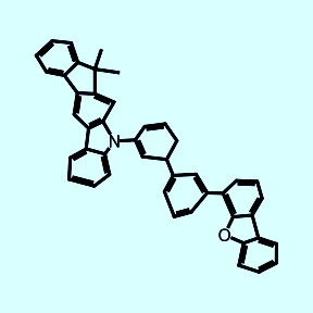 CC1(C)c2ccccc2-c2cc3c4ccccc4n(C4=CC(c5cccc(-c6cccc7c6oc6ccccc67)c5)CC=C4)c3cc21